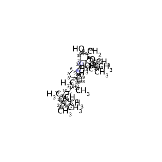 C=C1/C(=C\C=C2/CCC[C@]3(C)[C@@H](C(C)CCCC(C)(C)O[Si](CC)(CC)CC)CC[C@@H]23)C[C@@H](O)C(=C)[C@@H]1O[Si](C)(C)C(C)(C)C